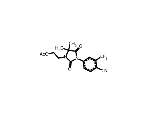 CC(=O)OCCN1C(=O)N(c2ccc(C#N)c(C(F)(F)F)c2)C(=O)C1(C)C